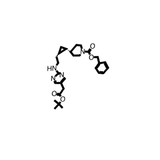 CC(C)(C)OC(=O)Cc1cnc(NCC[C@@H]2C[C@@H]2C2CCN(C(=O)OCc3ccccc3)CC2)nc1